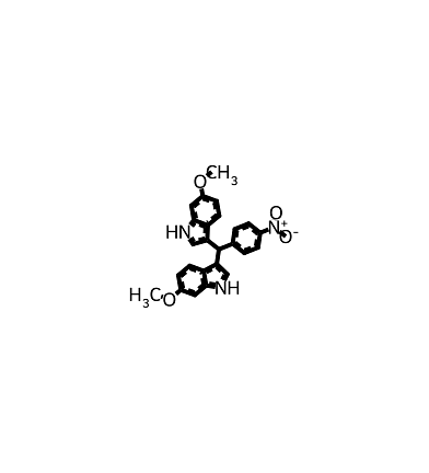 COc1ccc2c(C(c3ccc([N+](=O)[O-])cc3)c3c[nH]c4cc(OC)ccc34)c[nH]c2c1